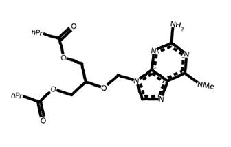 CCCC(=O)OCC(COC(=O)CCC)OCn1cnc2c(NC)nc(N)nc21